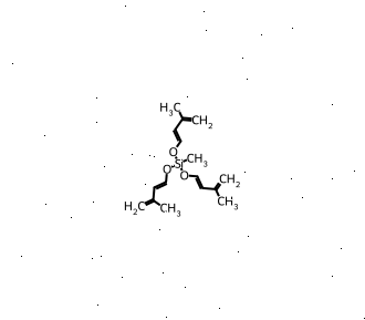 C=C(C)C=CO[Si](C)(OC=CC(=C)C)OC=CC(=C)C